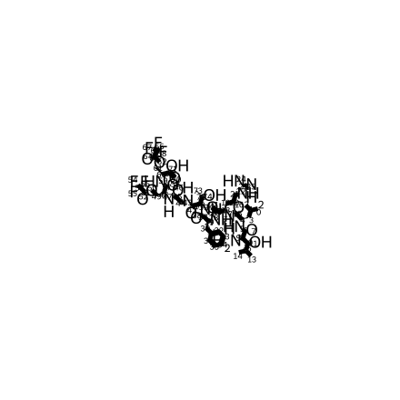 CC(C)C[C@H](NC(=O)[C@@H](N)[C@H](O)C(C)C)C(=O)N[C@H](CCCNC(=N)N)C(=O)N[C@@H](Cc1ccccc1)C(=O)N[C@H](C(=O)NCC(=O)N[C@@H](COC(=O)C(F)(F)F)C(=O)N[C@@H](COC(=O)C(F)(F)F)C(=O)O)[C@H](C)O